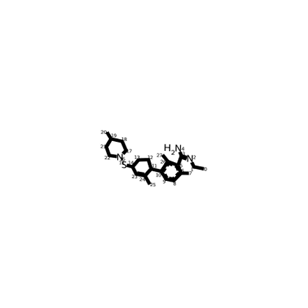 CC/N=C(/N)c1c(C)ccc(C2CCC(SN3CCC(C)CC3)C=C2C)c1C